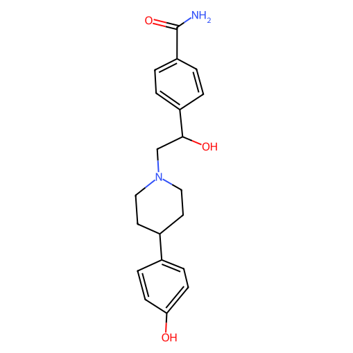 NC(=O)c1ccc(C(O)CN2CCC(c3ccc(O)cc3)CC2)cc1